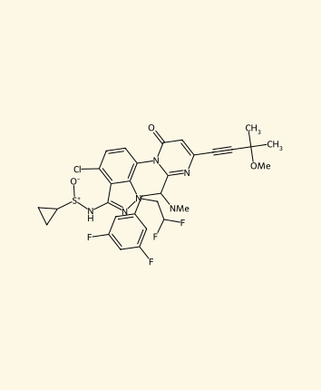 CNC(Cc1cc(F)cc(F)c1)c1nc(C#CC(C)(C)OC)cc(=O)n1-c1ccc(Cl)c2c(N[S+]([O-])C3CC3)nn(CC(F)F)c12